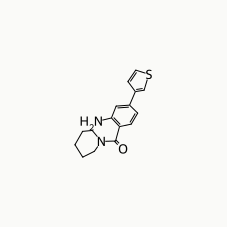 Nc1cc(-c2ccsc2)ccc1C(=O)N1CCCCC1